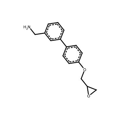 NCc1cccc(-c2ccc(OCC3CO3)cc2)c1